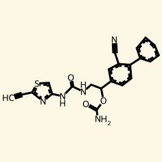 C#Cc1nc(NC(=O)NCC(OC(N)=O)c2ccc(-c3ccccc3)c(C#N)c2)cs1